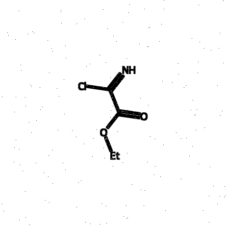 CCOC(=O)C(=N)Cl